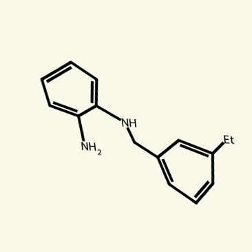 CCc1cccc(CNc2ccccc2N)c1